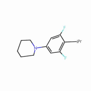 CC(C)c1c(F)cc(N2CCCCC2)cc1F